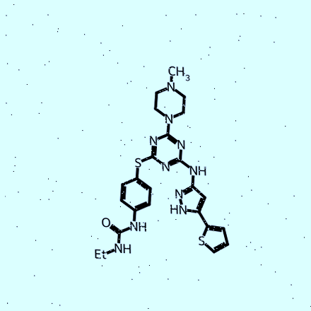 CCNC(=O)Nc1ccc(Sc2nc(Nc3cc(-c4cccs4)[nH]n3)nc(N3CCN(C)CC3)n2)cc1